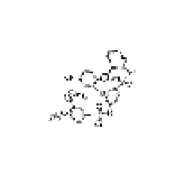 COc1cc(S(=O)(=O)Nc2ccc(S(=O)(=O)Nc3ccccc3Oc3ccc(Cl)cc3Cl)cc2)ccc1C